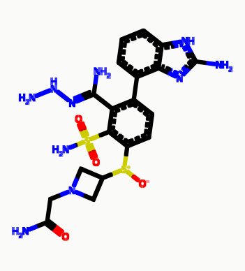 NN/N=C(\N)c1c(-c2cccc3[nH]c(N)nc23)ccc([S+]([O-])C2CN(CC(N)=O)C2)c1S(N)(=O)=O